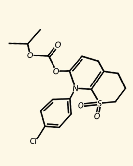 CC(C)OC(=O)OC1=CCC2=C(N1c1ccc(Cl)cc1)S(=O)(=O)CCC2